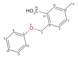 Cc1ccc(COc2ccccc2)c(C(=O)O)c1